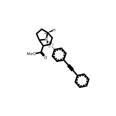 COC(=O)C1C2CC[C@H](C[C@@H]1c1ccc(C#Cc3ccccc3)cc1)N2C